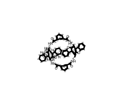 O=C1NCc2c3oc4ccccc4c3c(c3oc4ccccc4c23)CNC(=O)c2cccc(c2)C(=O)NC[C@@H]2[C@@H]3O[C@@H]4CCCC[C@@H]4[C@@H]3[C@H](CNC(=O)c3cccc1c3)[C@@H]1O[C@@H]3CCCC[C@@H]3[C@H]21